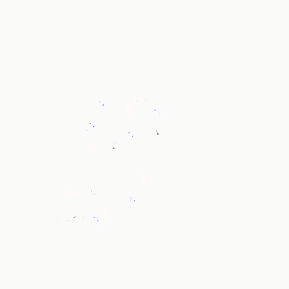 CCCC[C@H](N)C(=O)N(CCCC[C@@](CCN(C)C)(NC(=O)[C@H](C)NC(=O)Cc1cc(F)cc(F)c1)C(N)=O)C(=O)[C@H](C)NC(=O)Cc1cc(F)cc(F)c1